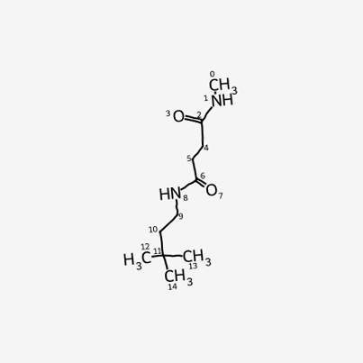 CNC(=O)CCC(=O)NCCC(C)(C)C